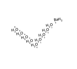 O.O.O.O.O.O.O.O.O.[BaH2]